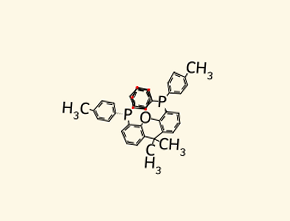 Cc1ccc([P@](c2ccccc2)c2cccc3c2Oc2c([P@@](c4ccccc4)c4ccc(C)cc4)cccc2C3(C)C)cc1